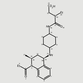 CCC(=O)N1c2ccccc2[C@H](NC2CCC(NC(=O)N(CC)CC(=O)O)CC2)C[C@@H]1C